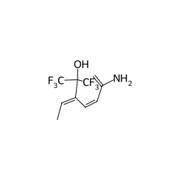 C=C(N)/C=C\C(=C/C)C(O)(C(F)(F)F)C(F)(F)F